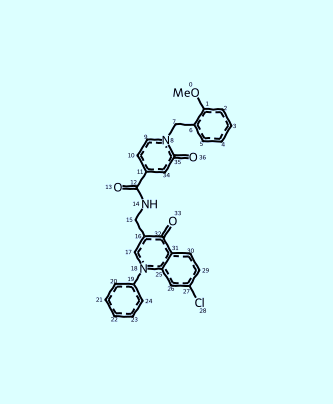 COc1ccccc1Cn1ccc(C(=O)NCc2cn(-c3ccccc3)c3cc(Cl)ccc3c2=O)cc1=O